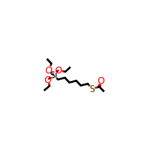 CCO[Si](CCCCCCSC(C)=O)(OCC)OCC